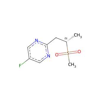 C[C@@H](Cc1ncc(F)cn1)S(C)(=O)=O